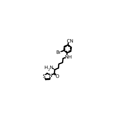 N#Cc1ccc(NCCCC[C@H](N)C(=O)N2C=CSC2)c(Br)c1